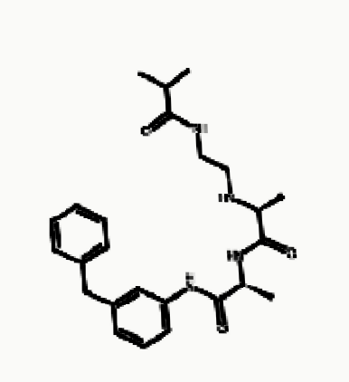 CC(C)C(=O)NCCN[C@@H](C)C(=O)N[C@@H](C)C(=O)Nc1cccc(Cc2ccccc2)c1